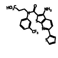 Nc1c(C(=O)N(CCC(=O)O)c2cccc(C(F)(F)F)c2)sc2nc(-c3cccs3)ccc12